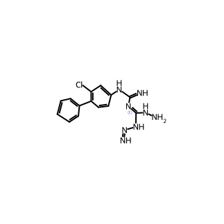 N=NN/C(=N/C(=N)Nc1ccc(-c2ccccc2)c(Cl)c1)NN